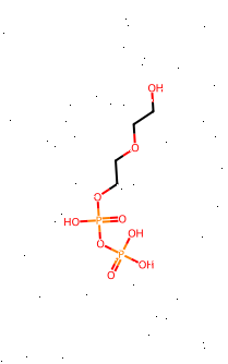 O=P(O)(O)OP(=O)(O)OCCOCCO